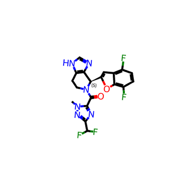 Cn1nc(C(F)F)nc1C(=O)N1CCc2[nH]cnc2[C@H]1c1cc2c(F)ccc(F)c2o1